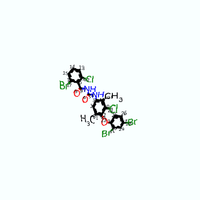 Cc1cc(NC(=O)NC(=O)c2c(Cl)cccc2Br)c(C)c(Cl)c1Oc1ccc(Br)cc1Br